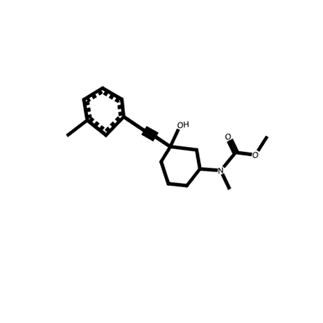 COC(=O)N(C)C1CCCC(O)(C#Cc2cccc(C)c2)C1